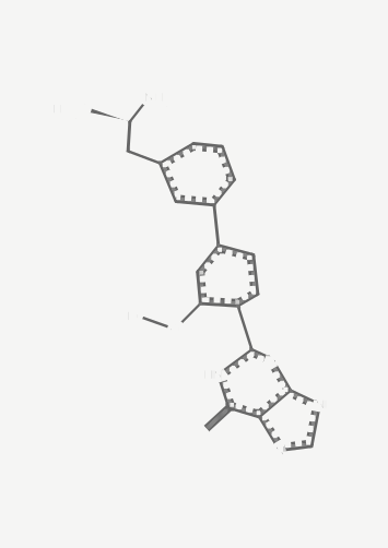 CCOc1cc(-c2cccc(C[C@H](N)C(=O)O)c2)ccc1-c1nc2[nH]cnc2c(=O)[nH]1